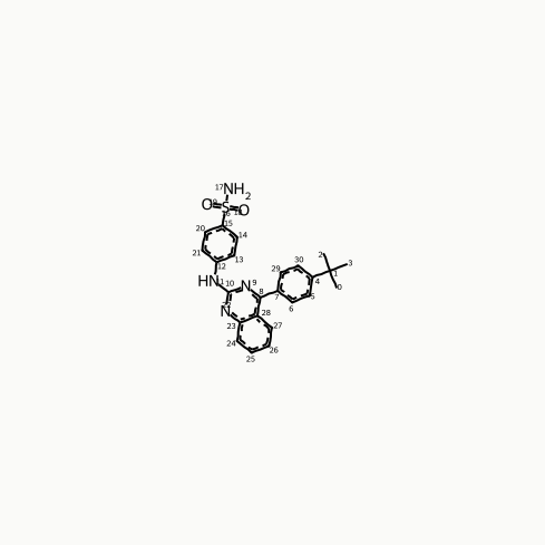 CC(C)(C)c1ccc(-c2nc(Nc3ccc(S(N)(=O)=O)cc3)nc3ccccc23)cc1